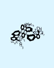 CC(C)(C)c1cccc2c1oc1c(N3c4cccc5c4B4c6c3cccc6[Si](C)(C)c3cccc(c34)N5c3cccc4c3oc3c(C(C)(C)C)cccc34)cccc12